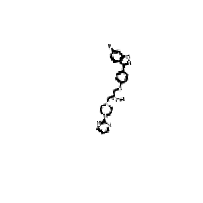 O[C@@H](COc1ccc(-c2noc3cc(F)ccc23)cc1)CN1CCN(c2ncccn2)CC1